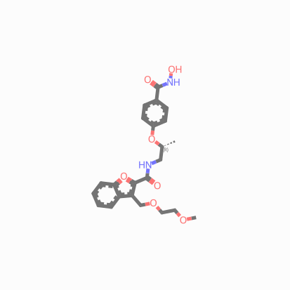 COCCOCc1c(C(=O)NC[C@@H](C)Oc2ccc(C(=O)NO)cc2)oc2ccccc12